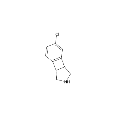 Clc1ccc2c(c1)C1CNCC21